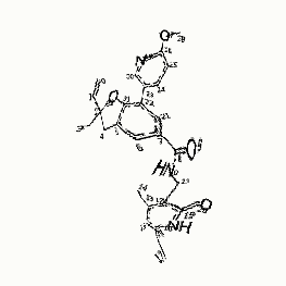 C=CC1(C)Cc2cc(C(=O)NCc3c(C)cc(C)[nH]c3=O)cc(-c3ccc(OC)nc3)c2O1